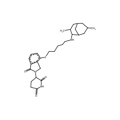 CC1CC2CC(C)C(NCCCCCSc3cccc4c3CN(C3CCC(=O)NC3=O)C4=O)C(C1)C2